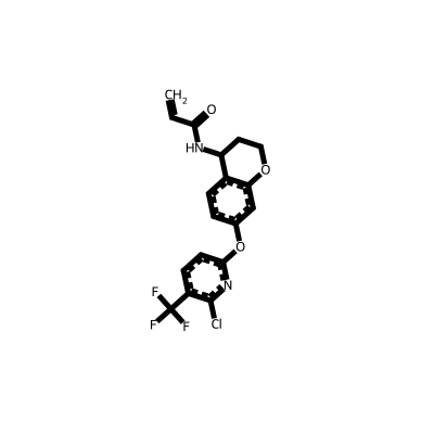 C=CC(=O)NC1CCOc2cc(Oc3ccc(C(F)(F)F)c(Cl)n3)ccc21